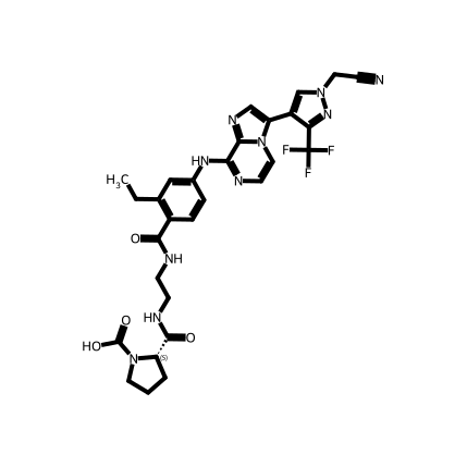 CCc1cc(Nc2nccn3c(-c4cn(CC#N)nc4C(F)(F)F)cnc23)ccc1C(=O)NCCNC(=O)[C@@H]1CCCN1C(=O)O